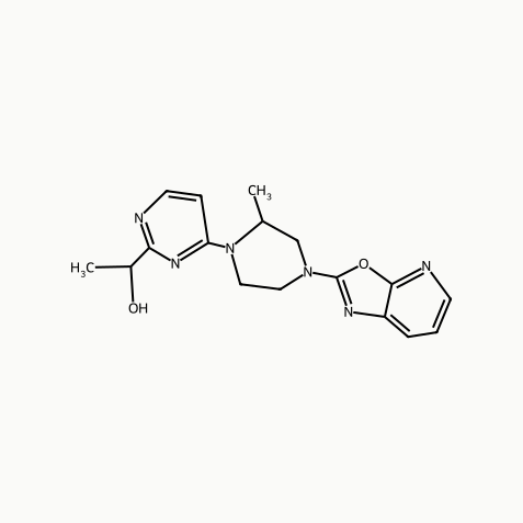 CC(O)c1nccc(N2CCN(c3nc4cccnc4o3)CC2C)n1